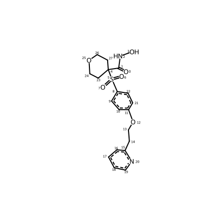 O=C(NO)C1(S(=O)(=O)c2ccc(OCCc3ccccn3)cc2)CCOCC1